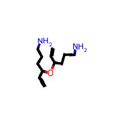 C=CC(CCCN)OC(C=C)CCCN